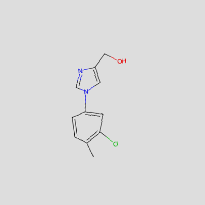 Cc1ccc(-n2cnc(CO)c2)cc1Cl